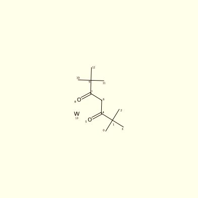 CC(C)(C)C(=O)CC(=O)C(C)(C)C.[W]